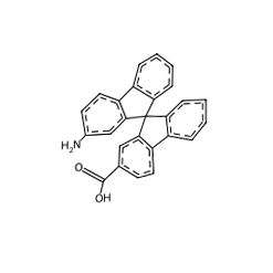 Nc1ccc2c(c1)C1(c3ccccc3-2)c2ccccc2-c2ccc(C(=O)O)cc21